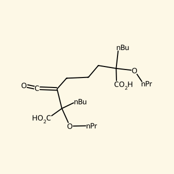 CCCCC(CCCC(=C=O)C(CCCC)(OCCC)C(=O)O)(OCCC)C(=O)O